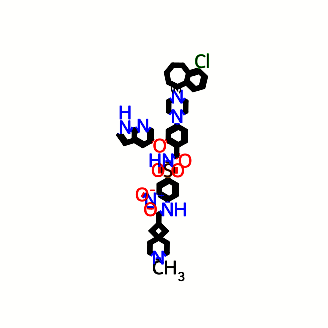 CN1CCC2(CC1)CC(CNc1ccc(S(=O)(=O)NC(=O)c3ccc(N4CCN([C@@H]5CCCCc6c(Cl)cccc65)CC4)cc3Oc3cnc4[nH]ccc4c3)cc1[N+](=O)[O-])C2